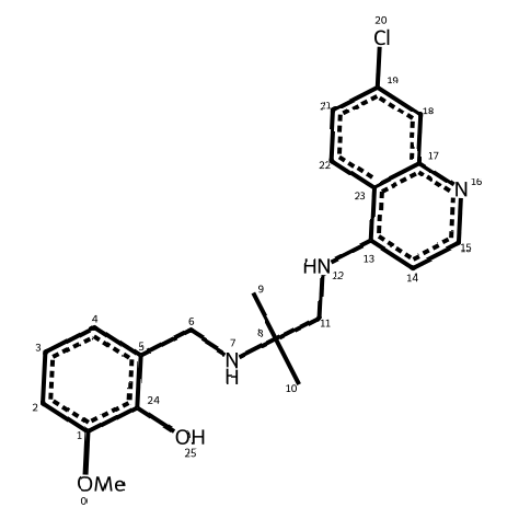 COc1cccc(CNC(C)(C)CNc2ccnc3cc(Cl)ccc23)c1O